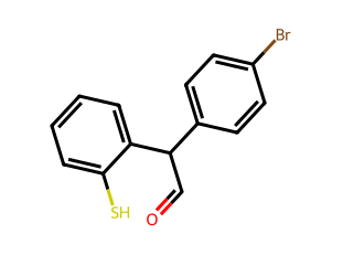 O=CC(c1ccc(Br)cc1)c1ccccc1S